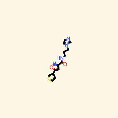 O=C(NCCCn1ccnc1)c1cc(-c2ccsc2)on1